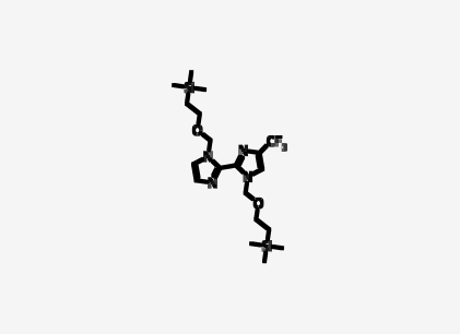 C[Si](C)(C)CCOCn1ccnc1-c1nc(C(F)(F)F)cn1COCC[Si](C)(C)C